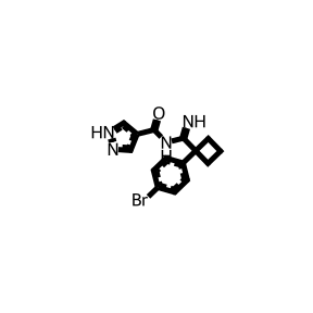 N=C(NC(=O)c1cn[nH]c1)C1(c2ccc(Br)cc2)CCC1